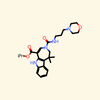 CC(C)OC(=O)C1=CN(C(=O)NCCCN2CCOCC2)CC(C)(C)c2c1[nH]c1ccccc21